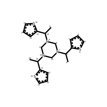 CC(c1cccs1)N1CN(C(C)c2cccs2)CN(C(C)c2cccs2)C1